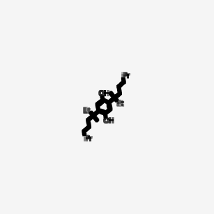 CCC(C)(CCCC(C)C)c1cc(O)c(C(C)(CC)CCCC(C)C)cc1O